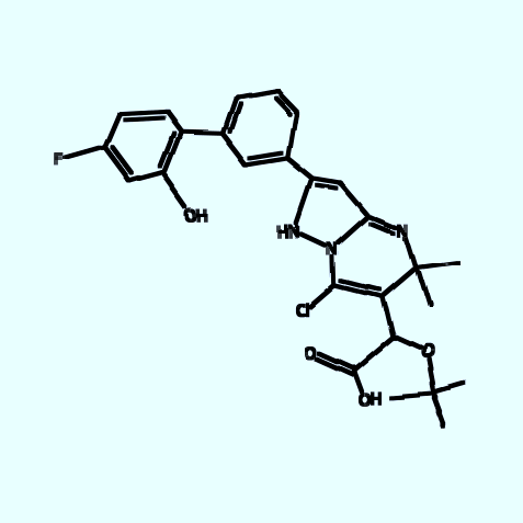 CC(C)(C)OC(C(=O)O)C1=C(Cl)N2NC(c3cccc(-c4ccc(F)cc4O)c3)=CC2=NC1(C)C